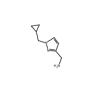 NCc1ccn(CC2CC2)n1